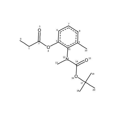 CCC(=O)Oc1cccc(C)c1N(C)C(=O)OC(C)(C)C